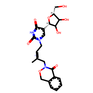 C/C(=C/Cn1cc([C@@H]2O[C@H](CO)C(O)C2O)c(=O)[nH]c1=O)CN1OCc2ccccc2C1=O